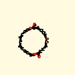 O=C1CCCCSCCCCC(=O)OCCCCCCCCCCO1